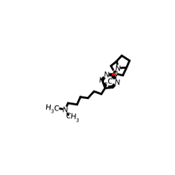 CN(C)CCCCCCc1cnc(N2C3CCC2CN(C)C3)nc1